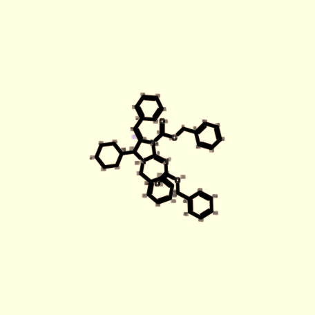 O=C(N=C1N(C(=O)OCc2ccccc2)/C(=C\c2ccccc2)C(C2CCCCC2)N1Cc1ccccc1)OCc1ccccc1